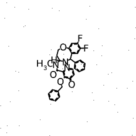 CN1C(=O)c2c(OCc3ccccc3)c(=O)ccn2N2C(c3ccccc3)c3cc(F)c(F)cc3OCC[C@@H]12